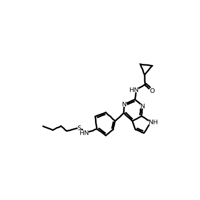 CCCCSNc1ccc(-c2nc(NC(=O)C3CC3)nc3[nH]ccc23)cc1